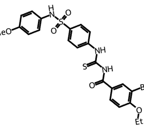 CCOc1ccc(C(=O)NC(=S)Nc2ccc(S(=O)(=O)Nc3ccc(OC)cc3)cc2)cc1Br